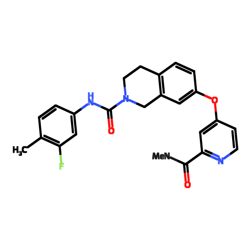 CNC(=O)c1cc(Oc2ccc3c(c2)CN(C(=O)Nc2ccc(C)c(F)c2)CC3)ccn1